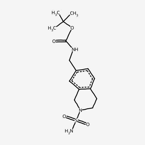 CC(C)(C)OC(=O)NCc1ccc2c(c1)CN(S(N)(=O)=O)CC2